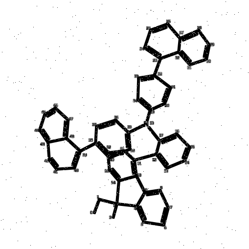 CCC1(C)c2ccccc2-c2c(-c3ccccc3N(c3ccc(-c4cccc5ccccc45)cc3)c3ccc(-c4cccc5ccccc45)cc3)cccc21